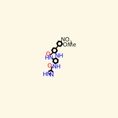 COc1cc(-c2ccc3c(c2)Nc2ccc(NC(=O)c4cn[nH]c4)cc2NC3=O)ccc1[N+](=O)[O-]